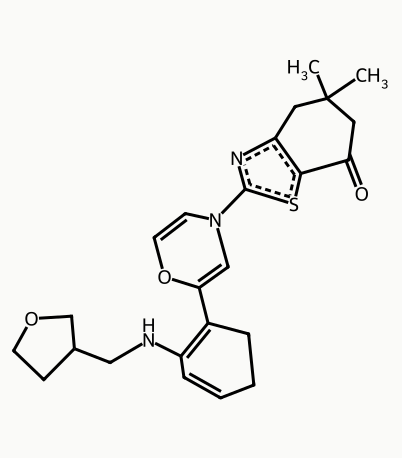 CC1(C)CC(=O)c2sc(N3C=COC(C4=C(NCC5CCOC5)C=CCC4)=C3)nc2C1